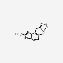 Cc1ccc2[nH]c(C(=O)O)nc2c1Cc1nnn[nH]1